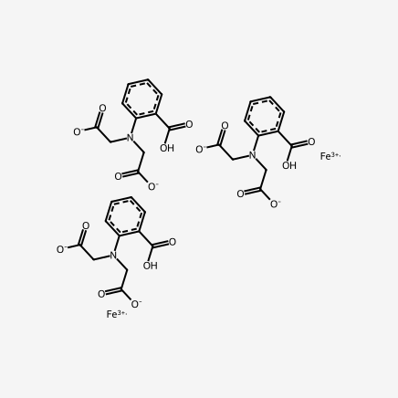 O=C([O-])CN(CC(=O)[O-])c1ccccc1C(=O)O.O=C([O-])CN(CC(=O)[O-])c1ccccc1C(=O)O.O=C([O-])CN(CC(=O)[O-])c1ccccc1C(=O)O.[Fe+3].[Fe+3]